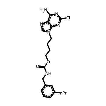 CCCc1cccc(CNC(=O)OCCCCn2cnc3c(N)nc(Cl)nc32)c1